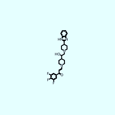 O=C(C=CN1CCC(C(O)CN2CCC(c3nc4ccccc4[nH]3)CC2)CC1)c1cc(F)c(F)c(F)c1